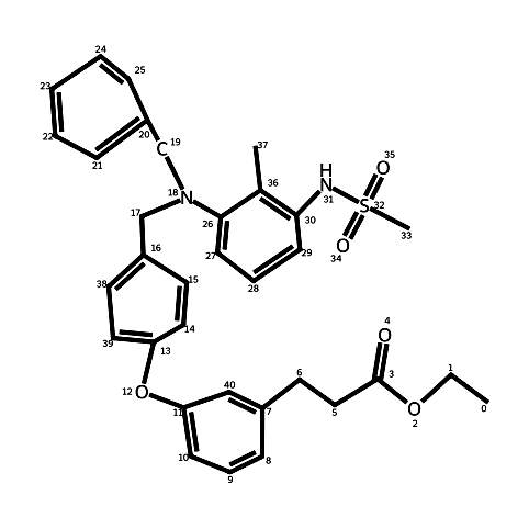 CCOC(=O)CCc1cccc(Oc2ccc(CN(Cc3ccccc3)c3cccc(NS(C)(=O)=O)c3C)cc2)c1